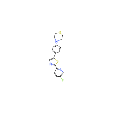 Fc1ccc(-c2ncc(-c3ccc(N4CCSCC4)cc3)s2)nc1